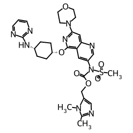 Cc1ncc(COC(=O)N(c2cnc3cc(N4CCOCC4)nc(O[C@H]4CC[C@@H](Nc5ncccn5)CC4)c3c2)S(C)(=O)=O)n1C